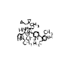 Cc1c[nH]c(C)c1-c1ccc(NC(=O)[C@@H](NC(=O)c2ccnn2C(C)C)C(C2CC2)C2(C)CC2)cn1